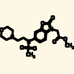 COC(=O)Cn1c(=O)oc2cc(N(CCN3CCOCC3)S(C)(=O)=O)ccc21